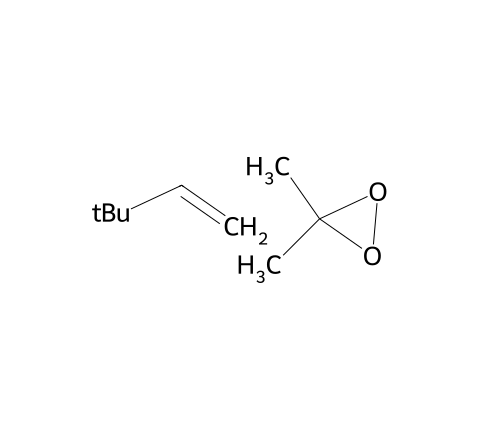 C=CC(C)(C)C.CC1(C)OO1